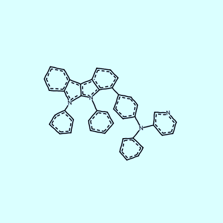 c1ccc(N(c2ccc(-c3cccc4c5c6ccccc6n(-c6ccccc6)c5n(-c5ccccc5)c34)cc2)c2cccnc2)cc1